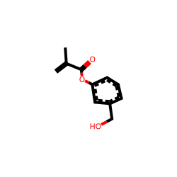 C=C(C)C(=O)Oc1cccc(CO)c1